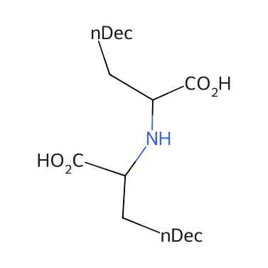 CCCCCCCCCCCC(NC(CCCCCCCCCCC)C(=O)O)C(=O)O